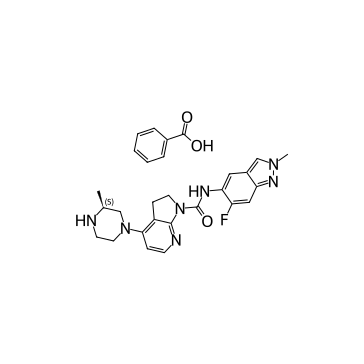 C[C@H]1CN(c2ccnc3c2CCN3C(=O)Nc2cc3cn(C)nc3cc2F)CCN1.O=C(O)c1ccccc1